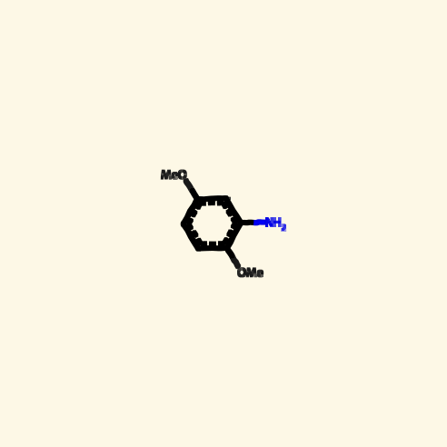 COc1[c]c(N)c(OC)cc1